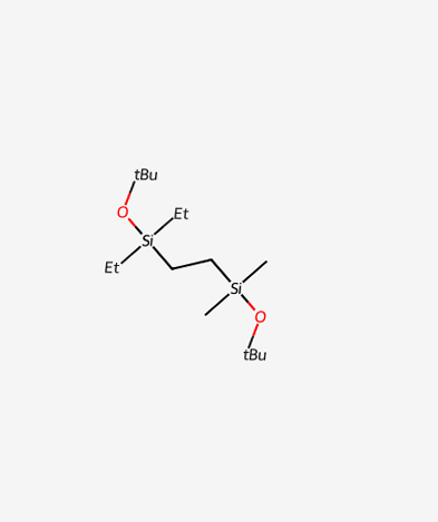 CC[Si](CC)(CC[Si](C)(C)OC(C)(C)C)OC(C)(C)C